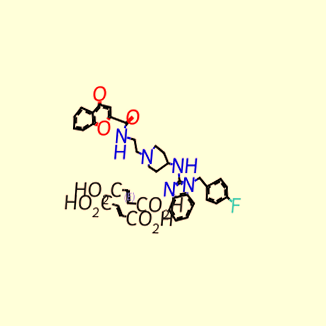 O=C(NCCN1CCC(Nc2nc3ccccc3n2Cc2ccc(F)cc2)CC1)c1cc(=O)c2ccccc2o1.O=C(O)/C=C/C(=O)O.O=C(O)C=CC(=O)O